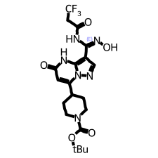 CC(C)(C)OC(=O)N1CCC(c2cc(=O)[nH]c3c(/C(=N\O)NC(=O)CC(F)(F)F)cnn23)CC1